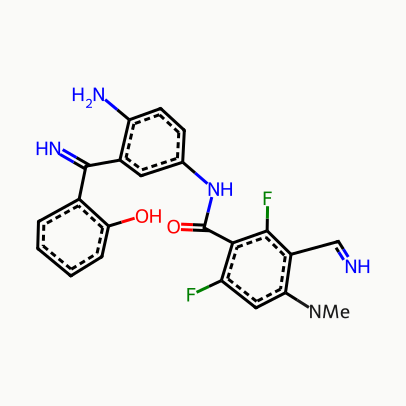 CNc1cc(F)c(C(=O)Nc2ccc(N)c(C(=N)c3ccccc3O)c2)c(F)c1C=N